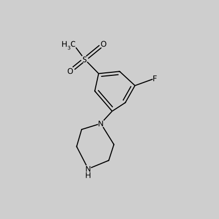 CS(=O)(=O)c1cc(F)cc(N2CCNCC2)c1